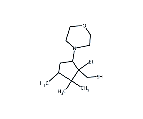 CCC1(CS)C(N2CCOCC2)CC(C)C1(C)C